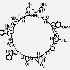 CCCC[C@H]1C(=O)N(C)[C@@H](CCCC)C(=O)N[C@@H](CCCN)C(=O)N[C@H](C(=O)NCC(N)=O)CSCC(=O)N[C@@H](Cc2ccc(OC)cc2)C(=O)N(C)[C@@H](C)C(=O)N[C@@H](CC(N)=O)C(=O)N2CCCC2C(=O)N[C@@H](CN)C(=O)N[C@@H](CCC(=O)O)C(=O)N2C[C@H](O)C[C@H]2C(=O)N[C@@H](Cc2c[nH]c3ccccc23)C(=O)N[C@@H](CC(=O)O)C(=O)N[C@@H](Cc2c[nH]c3ccccc23)C(=O)N1C